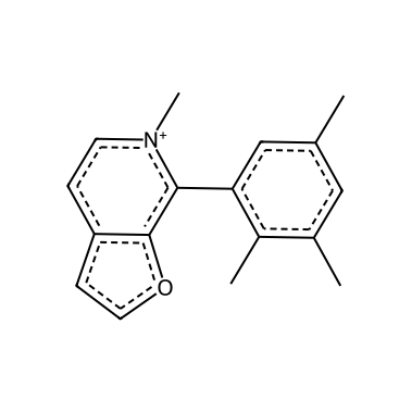 Cc1cc(C)c(C)c(-c2c3occc3cc[n+]2C)c1